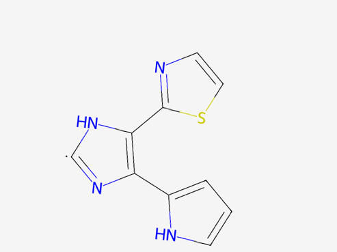 [c]1nc(-c2ccc[nH]2)c(-c2nccs2)[nH]1